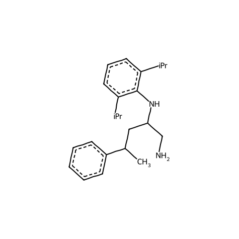 CC(C)c1cccc(C(C)C)c1NC(CN)CC(C)c1ccccc1